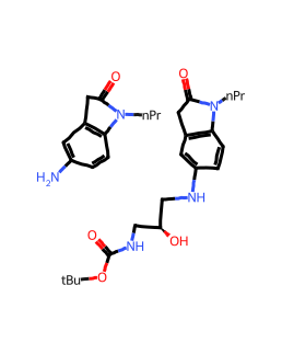 CCCN1C(=O)Cc2cc(N)ccc21.CCCN1C(=O)Cc2cc(NC[C@@H](O)CNC(=O)OC(C)(C)C)ccc21